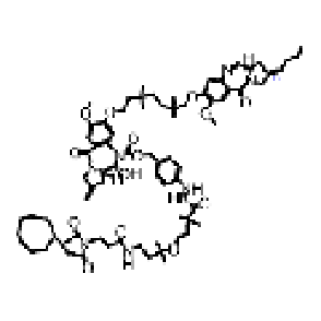 C=C1C[C@H]2[C@H](O)N(C(=O)OCc3ccc(NBC(=O)C(C)(C)CCOC(C)(C)CCNC(=O)CCN4C(=O)CC(C5CCCCCCCC5)C4=O)cc3)c3cc(OCCC(C)(C)CCC(C)(C)COc4cc5c(cc4OC)C(=O)N4C/C(=C/CCC)C[C@H]4C=N5)c(OC)cc3C(=O)N2C1